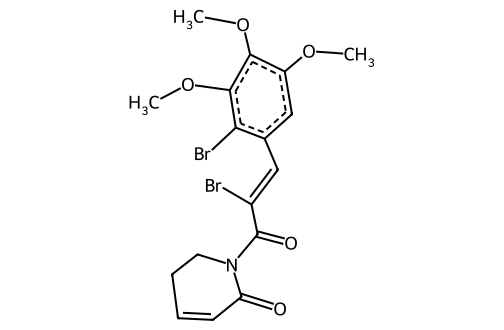 COc1cc(/C=C(\Br)C(=O)N2CCC=CC2=O)c(Br)c(OC)c1OC